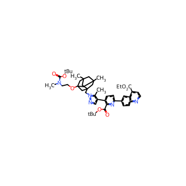 CCOC(=O)c1ccnc2ccc(-c3ccc(-c4cnn(CC56CC7(C)CC(C)(C5)CC(OCCN(C)C(=O)OC(C)(C)C)(C7)C6)c4C)c(C(=O)OC(C)(C)C)n3)cc12